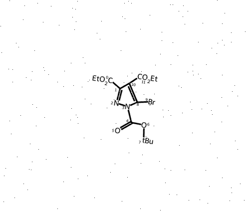 CCOC(=O)c1nn(C(=O)OC(C)(C)C)c(Br)c1C(=O)OCC